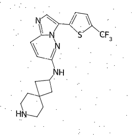 FC(F)(F)c1ccc(-c2cnc3ccc(NC4CC5(CCNCC5)C4)nn23)s1